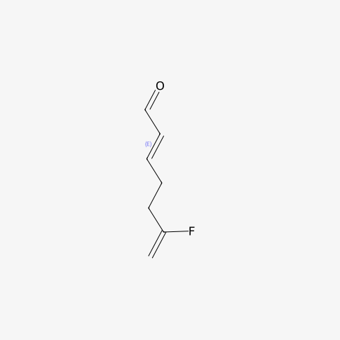 C=C(F)CC/C=C/C=O